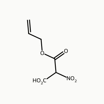 C=CCOC(=O)C(C(=O)O)[N+](=O)[O-]